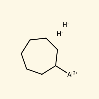 [Al+2][CH]1CCCCCC1.[H-].[H-]